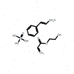 C=CC(=O)OCCO.O=P(O)(O)O.O=S(=O)(O)C=Cc1ccccc1